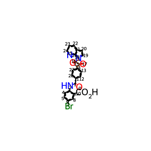 O=C(Nc1ccc(Br)cc1C(=O)O)c1ccc(S(=O)(=O)n2ccc3cccnc32)cc1